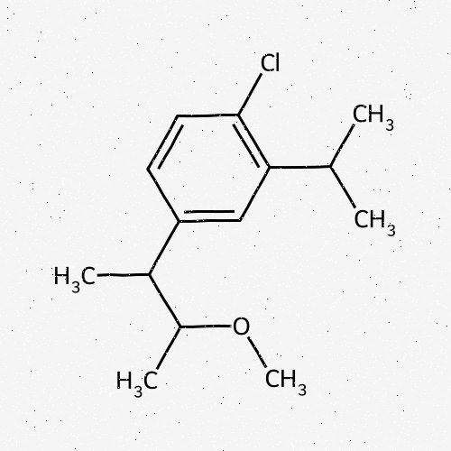 COC(C)C(C)c1ccc(Cl)c(C(C)C)c1